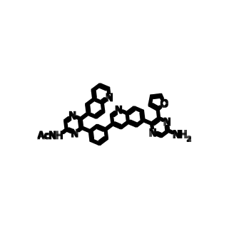 CC(=O)Nc1cnc(-c2ccc3ncccc3c2)c(-c2cccc(-c3cnc4ccc(-c5ncc(N)nc5-c5ccco5)cc4c3)c2)n1